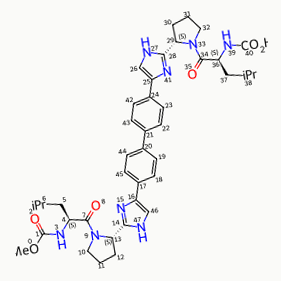 COC(=O)N[C@@H](CC(C)C)C(=O)N1CCC[C@H]1c1nc(-c2ccc(-c3ccc(-c4c[nH]c([C@@H]5CCCN5C(=O)[C@H](CC(C)C)NC(=O)O)n4)cc3)cc2)c[nH]1